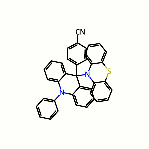 N#Cc1ccc(C2(N3c4ccccc4Sc4ccccc43)c3ccccc3N(c3ccccc3)c3ccccc32)cc1